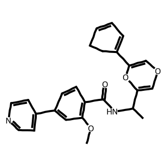 COc1cc(-c2ccncc2)ccc1C(=O)NC(C)C1=COC=C(C2=CC=CCC2)O1